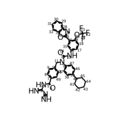 N=NC(=N)NC(=O)c1ccc(CN(C(=O)Nc2ccc(OC(F)(F)F)c(-c3nc4ccccc4o3)c2)c2ccc(C3CCCCC3)cc2)cc1